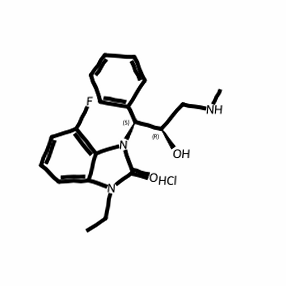 CCn1c(=O)n([C@@H](c2ccccc2)[C@H](O)CNC)c2c(F)cccc21.Cl